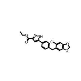 CCOC(=O)c1cc(-c2ccc(Cc3cc4c(cc3Cl)OCO4)cc2)[nH]n1